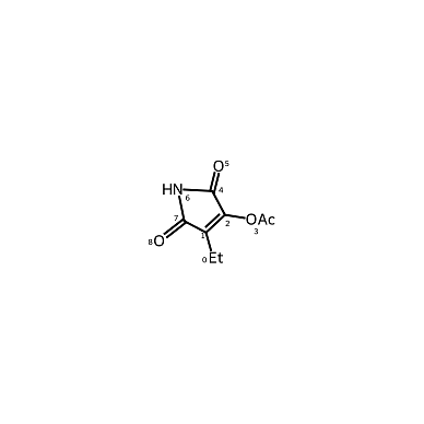 CCC1=C(OC(C)=O)C(=O)NC1=O